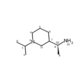 CC(C)N1CCCC([C@H](C)N)C1